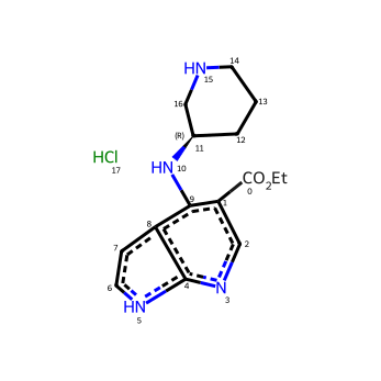 CCOC(=O)c1cnc2[nH]ccc2c1N[C@@H]1CCCNC1.Cl